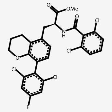 COC(=O)[C@H](Cc1ccc(-c2c(Cl)cc(F)cc2Cl)c2c1CCCO2)NC(=O)c1c(Cl)cccc1Cl